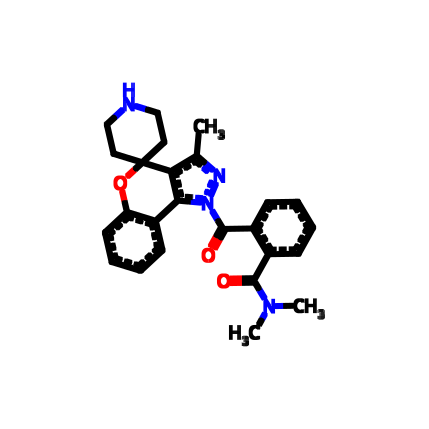 Cc1nn(C(=O)c2ccccc2C(=O)N(C)C)c2c1C1(CCNCC1)Oc1ccccc1-2